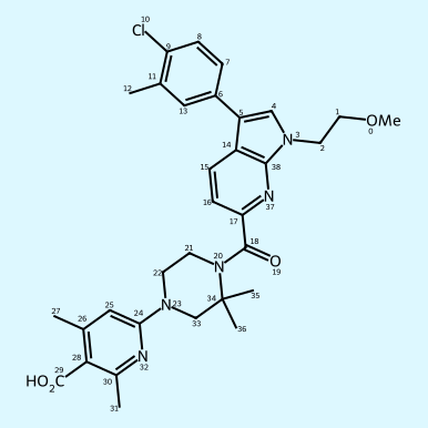 COCCn1cc(-c2ccc(Cl)c(C)c2)c2ccc(C(=O)N3CCN(c4cc(C)c(C(=O)O)c(C)n4)CC3(C)C)nc21